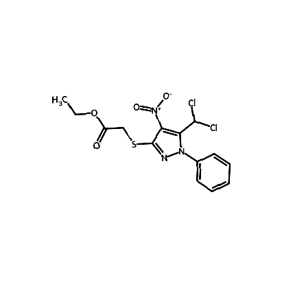 CCOC(=O)CSc1nn(-c2ccccc2)c(C(Cl)Cl)c1[N+](=O)[O-]